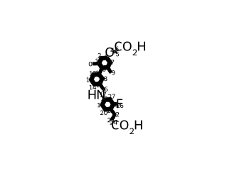 Cc1cc(OCC(=O)O)cc(C)c1-c1cccc(CNc2ccc(CCC(=O)O)c(F)c2)c1